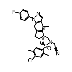 Cc1cc(S(=O)(=O)N(CC#N)C[C@H]2CCC3=C2[C@H](C)c2cnn(-c4ccc(F)cc4)c2C3)c(C)cc1Cl